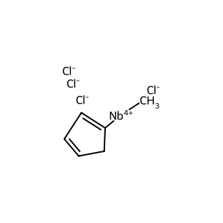 [CH3][Nb+4][C]1=CC=CC1.[Cl-].[Cl-].[Cl-].[Cl-]